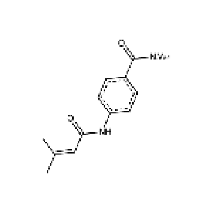 CNC(=O)c1ccc(NC(=O)C=C(C)C)cc1